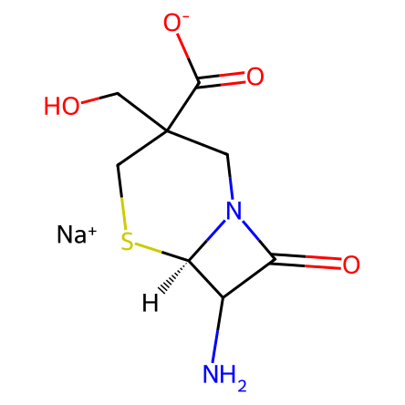 NC1C(=O)N2CC(CO)(C(=O)[O-])CS[C@H]12.[Na+]